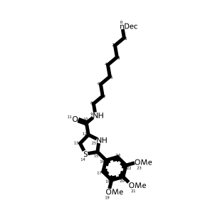 CCCCCCCCCCCCCCCCCCNC(=O)C1CSC(c2cc(OC)c(OC)c(OC)c2)N1